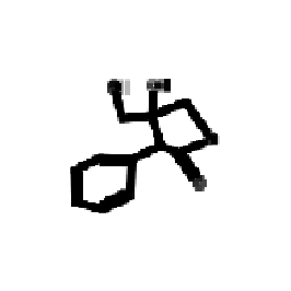 O=C1OCC(O)(CO)C1c1ccccc1